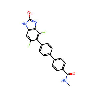 CNC(=O)c1ccc(-c2ccc(-c3c(F)cc4[nH]c(O)nc4c3F)cc2)cc1